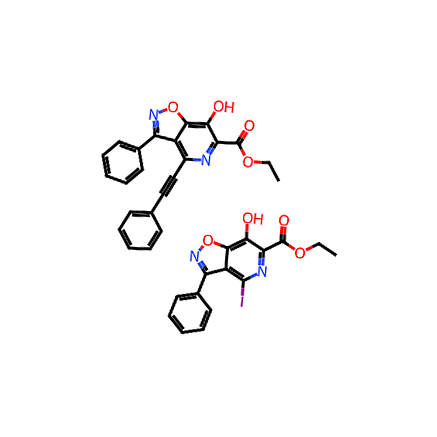 CCOC(=O)c1nc(C#Cc2ccccc2)c2c(-c3ccccc3)noc2c1O.CCOC(=O)c1nc(I)c2c(-c3ccccc3)noc2c1O